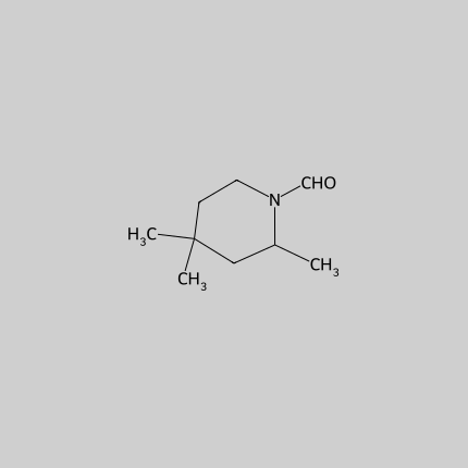 CC1CC(C)(C)CCN1C=O